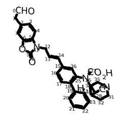 O=CCc1ccc2c(c1)oc(=O)n2C/C=C/c1ccc(-c2ccccc2)c(N(C(=O)O)[C@H]2CN3CCC2CC3)c1